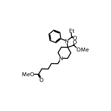 CCC(=O)N(c1ccccc1)C1(C(=O)OC)CCN(CCCCC(=O)OC)CC1